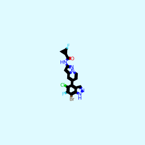 O=C(Nc1cc2cc(-c3c(Cl)c(F)c(Br)c4[nH]ncc34)ccn2n1)C1CC1F